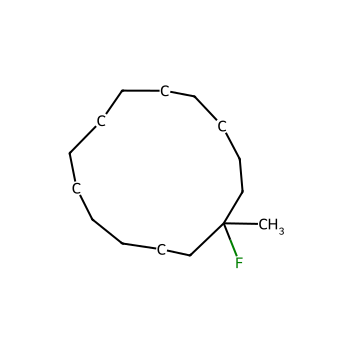 CC1(F)CCCCCCCCCCCCC1